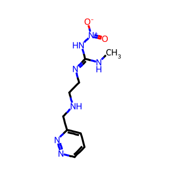 CN/C(=N\CCNCc1cccnn1)N[N+](=O)[O-]